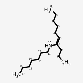 CCCCCC=C(CCC)NCCCCCCC